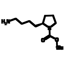 CC(C)(C)OC(=O)N1CCC[C@@H]1CCCCN